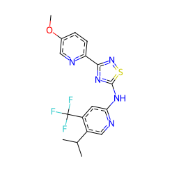 COc1ccc(-c2nsc(Nc3cc(C(F)(F)F)c(C(C)C)cn3)n2)nc1